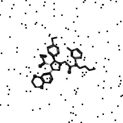 CCCCN(C(=O)CN1C[C@H](c2ccc3c(c2)OCCO3)[C@H](C(=O)O)[C@H]1c1ccc(CC)cc1)c1cccc(C)c1